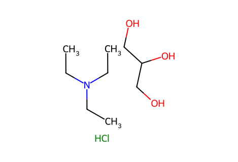 CCN(CC)CC.Cl.OCC(O)CO